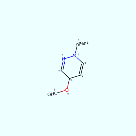 CCCCCN1C=CC(OC=O)C=N1